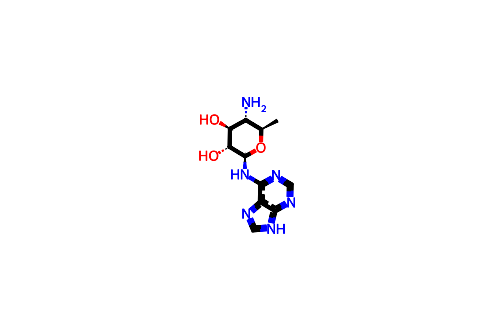 C[C@H]1O[C@@H](Nc2ncnc3[nH]cnc23)[C@H](O)[C@@H](O)[C@@H]1N